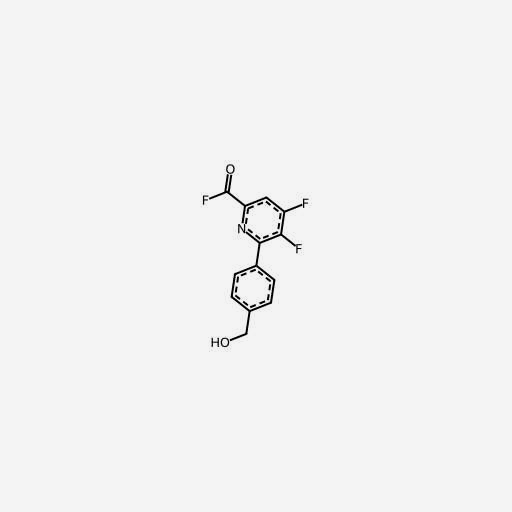 O=C(F)c1cc(F)c(F)c(-c2ccc(CO)cc2)n1